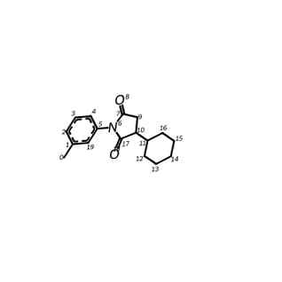 Cc1cccc(N2C(=O)CC(C3CCCCC3)C2=O)c1